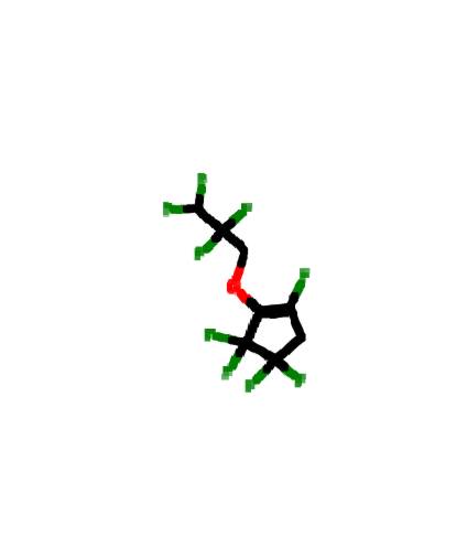 FC1=C(OCC(F)(F)C(F)F)C(F)(F)C(F)(F)C1